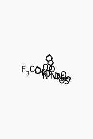 O=c1c(OC2Cc3ccccc3C2)c(N2CCN(S(=O)(=O)c3cccs3)CC2)cnn1-c1ccc(C(F)(F)F)cc1